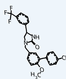 COc1ccc(CN2CC(c3cccc(C(F)(F)F)c3)NC2=O)cc1-c1ccc(Cl)cc1